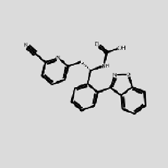 N#Cc1cccc(C[C@H](NC(=O)O)c2ccccc2-c2noc3ccccc23)n1